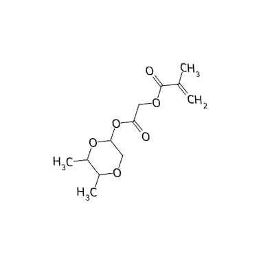 C=C(C)C(=O)OCC(=O)OC1COC(C)C(C)O1